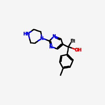 CCC(O)(c1ccc(C)cc1)c1cnc(N2CCNCC2)nc1